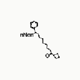 CCCCCCCCCC(CCCCCCCC(=O)C1CCC1)c1ccccc1